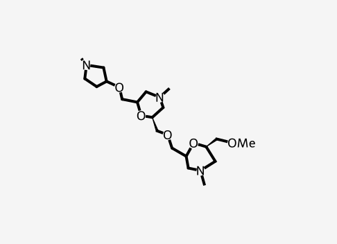 COC[C@H]1CN(C)CC(COC[C@@H]2CN(C)CC(COC3CCN(C)C3)O2)O1